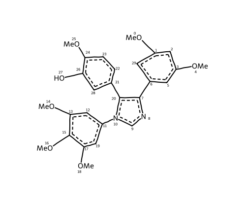 COc1cc(OC)cc(-c2ncn(-c3cc(OC)c(OC)c(OC)c3)c2-c2ccc(OC)c(O)c2)c1